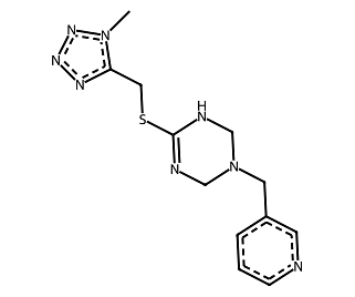 Cn1nnnc1CSC1=NCN(Cc2cccnc2)CN1